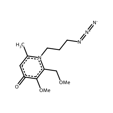 COCc1c(OC)c(=O)cc(C)n1CCCN=[N+]=[N-]